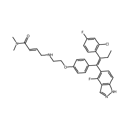 CC/C(=C(/c1ccc(OCCNC/C=C/C(=O)N(C)C)cc1)c1ccc2[nH]ncc2c1F)c1ccc(F)cc1Cl